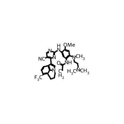 C=CC(=O)Nc1cc(Nc2ncc(C#N)c(-c3cn4c5c(c(C(F)(F)F)ccc35)CCC4)n2)c(OC)cc1N(C)CCN(C)C